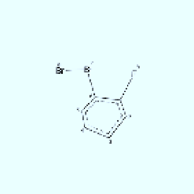 Fc1ccccc1[B]Br